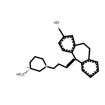 Cl.O=C(O)[C@@H]1CCCN(CC/C=C2/c3ccccc3CCc3cc(I)ccc32)C1